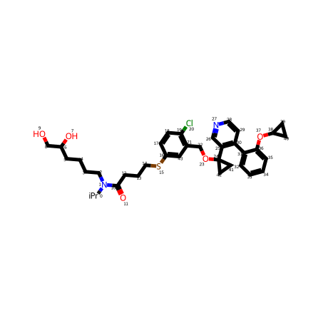 CC(C)N(CCCCC(O)CO)C(=O)CCCSc1ccc(Cl)c(COC2(c3cnccc3-c3ccccc3OC3CC3)CC2)c1